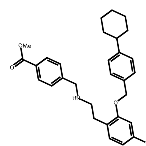 COC(=O)c1ccc(CNCCc2ccc(F)cc2OCc2ccc(C3CCCCC3)cc2)cc1